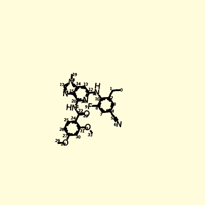 CCc1cc(C#N)cc(F)c1Nc1cc2c(ncn2C)c(NC(=O)c2ccc(OC)cc2OC)n1